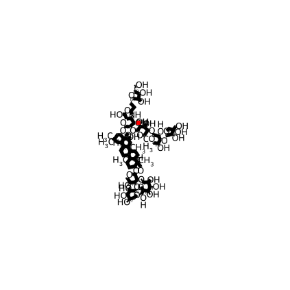 CC1O[C@@H](OC2C(O)[C@@H](NC(=O)CC[C@@H]3O[C@H](CO)C(O)C3O)C(CO)O[C@H]2OC(=O)[C@]23CCC(C)(C)CC2C2=CCC4C5(C)CC[C@H](O[C@@H]6OC[C@@H](O)[C@H](O[C@@H]7OC[C@@H](O)[C@H](O)C7O)C6O[C@@H]6OC(CO)[C@H](O)[C@H](O)C6O)[C@](C)(C=O)[C@@H]5CC[C@]4(C)[C@]2(C)CC3O)C(O)C(O)[C@H]1O[C@@H]1OC[C@@H](O)C(O[C@@H]2OCC(O)(CO)[C@@H]2O)C1O